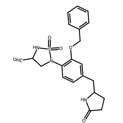 O=CC1CN(c2ccc(CC3CCC(=O)N3)cc2OCc2ccccc2)S(=O)(=O)N1